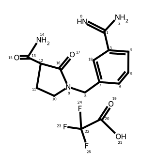 N=C(N)c1cccc(CN2CCC(C(N)=O)C2=O)c1.O=C(O)C(F)(F)F